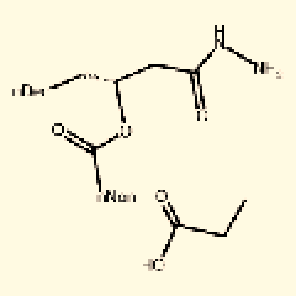 CCC(=O)O.CCCCCCCCCCC[C@H](CC(=O)NN)OC(=O)CCCCCCCCC